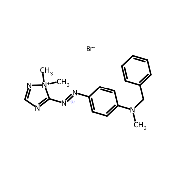 CN(Cc1ccccc1)c1ccc(/N=N/C2=NC=N[N+]2(C)C)cc1.[Br-]